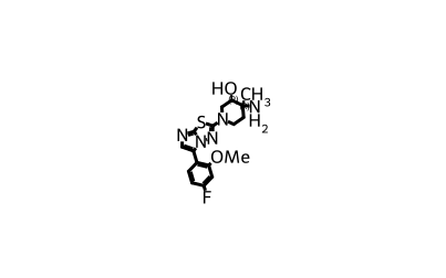 COc1cc(F)ccc1-c1cnc2sc(N3CC[C@@](C)(N)[C@H](O)C3)nn12